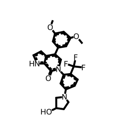 COc1cc(OC)cc(-c2cn(-c3cc(N4CCC(O)C4)ccc3C(F)(F)F)c(=O)c3[nH]ccc23)c1